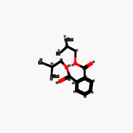 CCCCCCCCC(CC)COC(=O)c1ccccc1C(=O)OCC(CC)CCCCCCCC